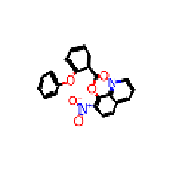 O=C(Oc1c([N+](=O)[O-])ccc2cccnc12)c1ccccc1Oc1ccccc1